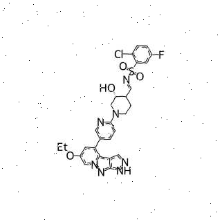 CCOc1cc(-c2ccc(N3CCC(/C=N/S(=O)(=O)c4cc(F)ccc4Cl)[C@@H](O)C3)nc2)c2c3cn[nH]c3nn2c1